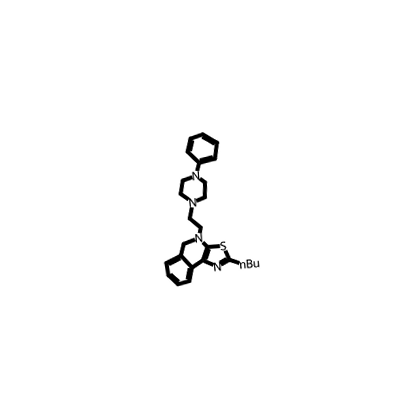 CCCCc1nc2c(s1)N(CCN1CCN(c3ccccc3)CC1)Cc1ccccc1-2